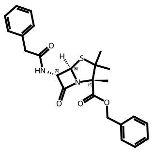 CC1(C)S[C@@H]2[C@@H](NC(=O)Cc3ccccc3)C(=O)N2[C@@]1(C)C(=O)OCc1ccccc1